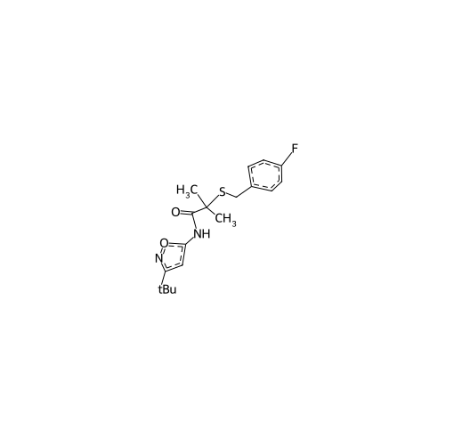 CC(C)(SCc1ccc(F)cc1)C(=O)Nc1cc(C(C)(C)C)no1